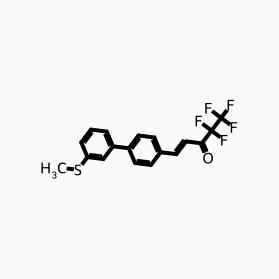 CSc1cccc(-c2ccc(/C=C/C(=O)C(F)(F)C(F)(F)F)cc2)c1